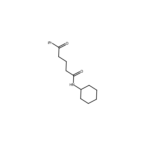 CC(C)C(=O)CCCC(=O)NC1CCCCC1